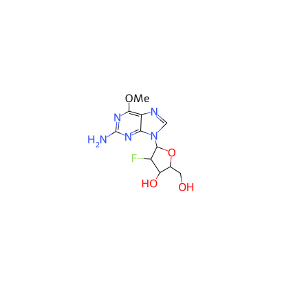 COc1nc(N)nc2c1ncn2C1OC(CO)C(O)C1F